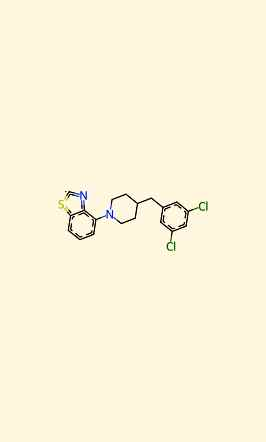 Clc1cc(Cl)cc(CC2CCN(c3cccc4s[c]nc34)CC2)c1